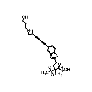 CC(CCc1nc2ccc(C#CC#CC3CN(CCCO)C3)cc2s1)(C(=O)NO)S(C)(=O)=O